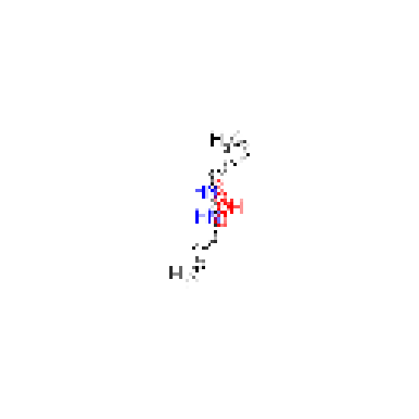 CC/C=C\C/C=C\C/C=C\C/C=C\C/C=C\C/C=C\CCC(=O)NCCC(CCNC(=O)CCC/C=C\C/C=C\C/C=C\C/C=C\C/C=C\CC)C(=O)O